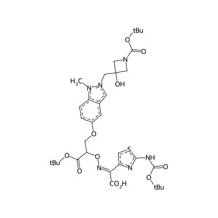 C[n+]1c2ccc(OCC(ON=C(C(=O)O)c3csc(NC(=O)OC(C)(C)C)n3)C(=O)OC(C)(C)C)cc2cn1CC1(O)CN(C(=O)OC(C)(C)C)C1